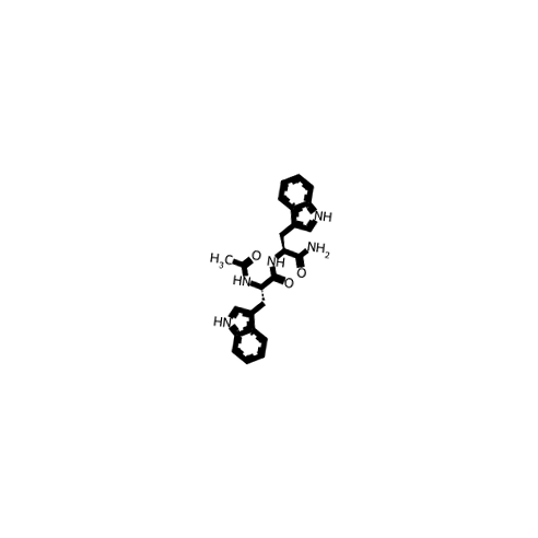 CC(=O)N[C@@H](Cc1c[nH]c2ccccc12)C(=O)N[C@@H](Cc1c[nH]c2ccccc12)C(N)=O